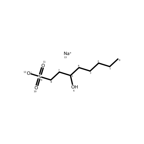 CCCCCC(O)CCS(=O)(=O)[O-].[Na+]